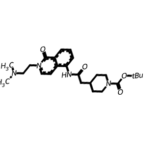 CN(C)CCn1ccc2c(NC(=O)CC3CCN(C(=O)OC(C)(C)C)CC3)cccc2c1=O